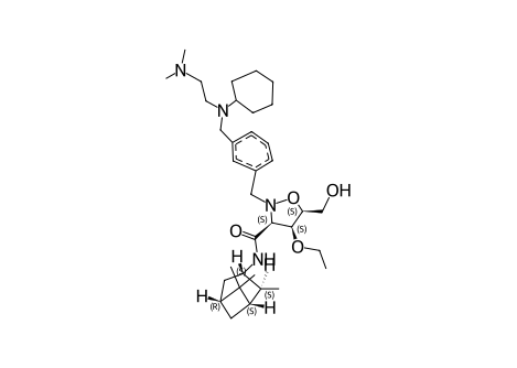 CCO[C@@H]1[C@H](CO)ON(Cc2cccc(CN(CCN(C)C)C3CCCCC3)c2)[C@@H]1C(=O)N[C@H]1C[C@H]2C[C@@H]([C@@H]1C)C2(C)C